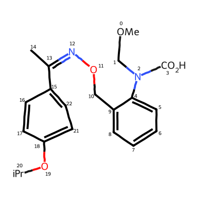 COCN(C(=O)O)c1ccccc1CO/N=C(/C)c1ccc(OC(C)C)cc1